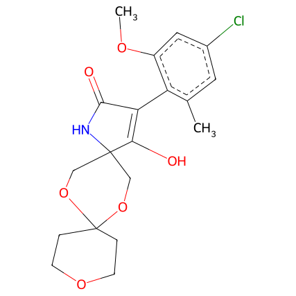 COc1cc(Cl)cc(C)c1C1=C(O)C2(COC3(CCOCC3)OC2)NC1=O